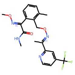 CNC(=O)/C(=N/OC)c1cccc(C)c1CO/N=C(\C)c1cc(C(F)(F)F)ccn1